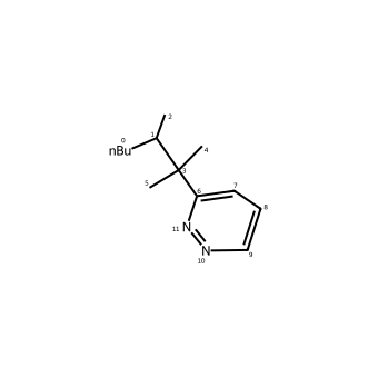 CCCCC(C)C(C)(C)c1cccnn1